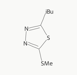 CCC(C)c1nnc(SC)s1